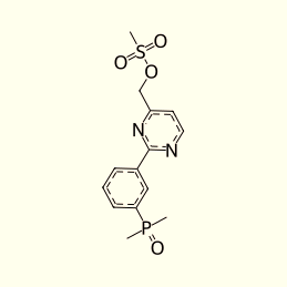 CP(C)(=O)c1cccc(-c2nccc(COS(C)(=O)=O)n2)c1